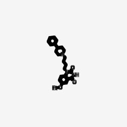 CCOc1ccc2c(c1)c(=O)[nH]c(=O)n2CCCCN1CC=C(c2ccccc2)CC1